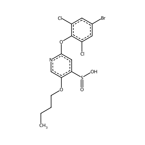 CCCCOc1cnc(Oc2c(Cl)cc(Br)cc2Cl)cc1S(=O)O